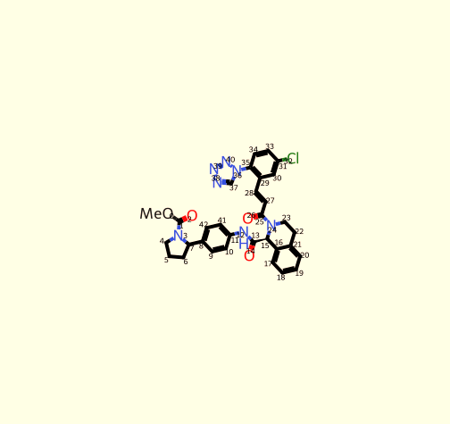 COC(=O)N1CCCC1c1ccc(NC(=O)[C@@H]2c3ccccc3CCN2C(=O)/C=C/c2cc(Cl)ccc2-n2cnnn2)cc1